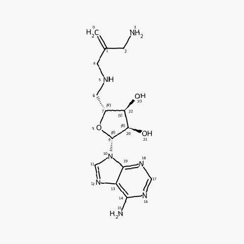 C=C(CN)CNC[C@H]1O[C@@H](n2cnc3c(N)ncnc32)[C@H](O)[C@@H]1O